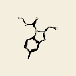 Cc1ccc2c(c1)cc(CCl)n2C(=O)OC(C)(C)C